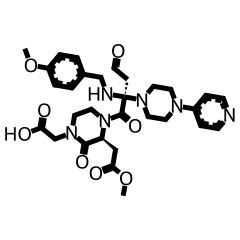 COC(=O)C[C@H]1C(=O)N(CC(=O)O)CCN1C(=O)[C@@](CC=O)(NCc1ccc(OC)cc1)N1CCN(c2ccncc2)CC1